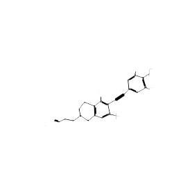 C=CCCC1CCc2c(cc(F)c(C#Cc3cc(F)c(F)c(F)c3)c2F)C1